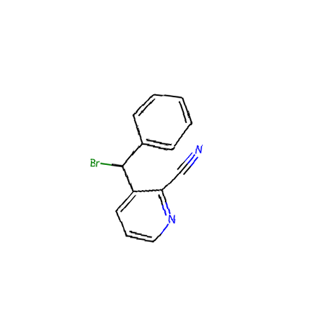 N#Cc1ncccc1C(Br)c1ccccc1